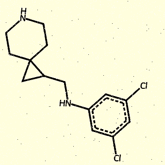 Clc1cc(Cl)cc(NCC2CC23CCNCC3)c1